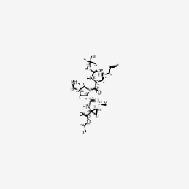 C=CCPC[C@H](NC(=O)OC(C)(C)C)C(=O)N1C[C@H](CP)C[C@H]1C(=O)N[C@]1(C(=O)OCC)C[C@H]1C=C